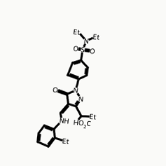 CCc1ccccc1NC=C1C(=O)N(c2ccc(S(=O)(=O)N(CC)CC)cc2)N=C1C(CC)C(=O)O